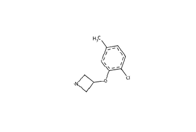 Cc1ccc(Cl)c(OC2C[N]C2)c1